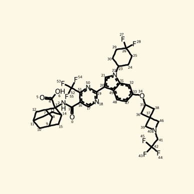 O=C(NC1(C(=O)O)C2CC3CC(C2)CC1C3)c1cnc(-c2cn(C3CCC(F)(F)CC3)c3cc(OC4CC5(C4)CN(CC(F)(F)F)C5)ccc23)nc1C(F)(F)F